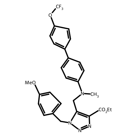 CCOC(=O)c1nnn(Cc2ccc(OC)cc2)c1CN(C)c1ccc(-c2ccc(OC(F)(F)F)cc2)cc1